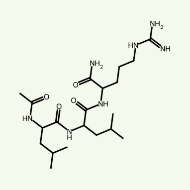 CC(=O)NC(CC(C)C)C(=O)NC(CC(C)C)C(=O)NC(CCCNC(=N)N)C(N)=O